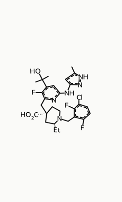 CC[C@@H]1C[C@](Cc2nc(Nc3cc(C)[nH]n3)cc(C(C)(C)O)c2F)(C(=O)O)CCN1Cc1c(F)ccc(Cl)c1F